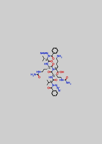 CC(C)[C@@H](C(=O)N[C@@H](CCCNC(N)=O)C(=O)N(C(=O)[C@H](CCCNC(N)=O)NC(=O)[C@H](C(C)C)N(N=[N+]=[N-])C(=O)c1ccccc1)[C@@H](CCCCN)C(=O)O)N(N=[N+]=[N-])C(=O)c1ccccc1